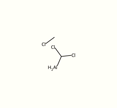 CCl.[AlH2][CH](Cl)Cl